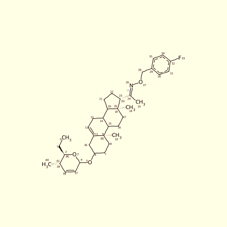 CC[C@H]1OC(OC2CC[C@@]3(C)C(=CCC4C3CC[C@@]3(C)C4CC[C@@H]3/C(C)=N/OCc3ccc(F)cc3)C2)C=C[C@@H]1C